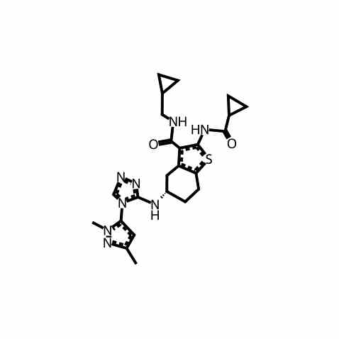 Cc1cc(-n2cnnc2N[C@H]2CCc3sc(NC(=O)C4CC4)c(C(=O)NCC4CC4)c3C2)n(C)n1